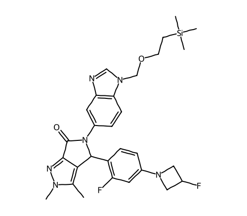 Cc1c2c(nn1C)C(=O)N(c1ccc3c(c1)ncn3COCC[Si](C)(C)C)C2c1ccc(N2CC(F)C2)cc1F